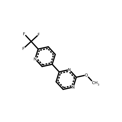 COc1nccc(-c2ccc(C(F)(F)F)nc2)n1